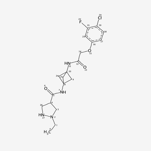 CCN1CC(C(=O)NC23CC(NC(=O)COc4ccc(Cl)c(F)c4)(C2)C3)CN1